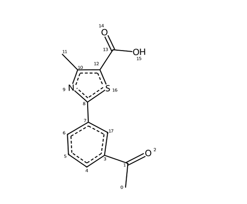 CC(=O)c1cccc(-c2nc(C)c(C(=O)O)s2)c1